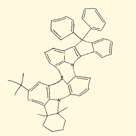 CC(C)(C)c1cc2c3c(c1)C1(C)CCCCC1(C)N3c1cccc3c1B2c1cccc2c4c(n-3c12)-c1ccccc1C4(c1ccccc1)c1ccccc1